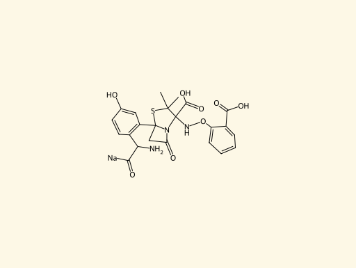 CC1(C)SC2(c3cc(O)ccc3C(N)[C](=O)[Na])CC(=O)N2C1(NOc1ccccc1C(=O)O)C(=O)O